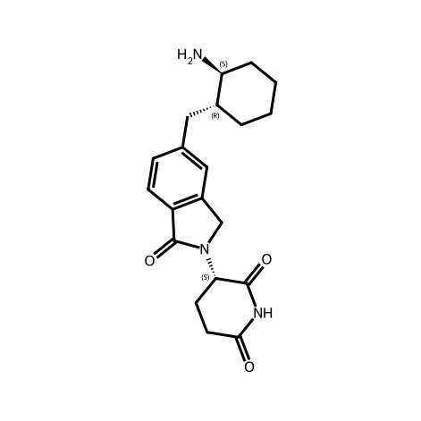 N[C@H]1CCCC[C@@H]1Cc1ccc2c(c1)CN([C@H]1CCC(=O)NC1=O)C2=O